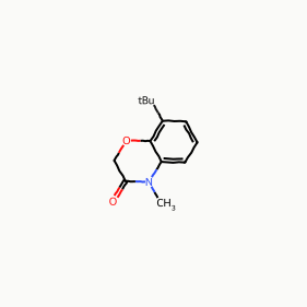 CN1C(=O)COc2c1cccc2C(C)(C)C